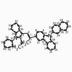 C=Cc1c(/C=C(\C)c2ccc3c(c2)c2ccccc2n3-c2ccc3ccccc3c2)c2ccccc2n1-c1ccccc1